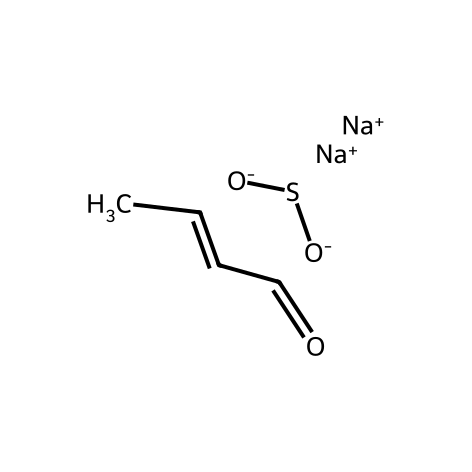 C/C=C/C=O.[Na+].[Na+].[O-]S[O-]